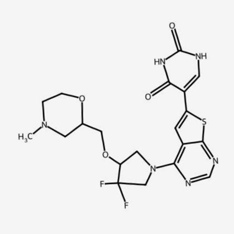 CN1CCOC(COC2CN(c3ncnc4sc(-c5c[nH]c(=O)[nH]c5=O)cc34)CC2(F)F)C1